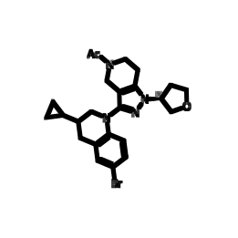 CC(=O)N1CCc2c(c(N3CC(C4CC4)Cc4cc(Br)ccc43)nn2[C@H]2CCOC2)C1